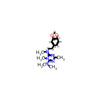 CC1N=C(N(C)C)N(C)C(N(C)CCc2ccc3c(c2)OCO3)=N1